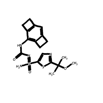 COC(C)(C)c1ncc(S(N)(=O)=NC(=O)Nc2c3c(cc4c2CC4)CC3)s1